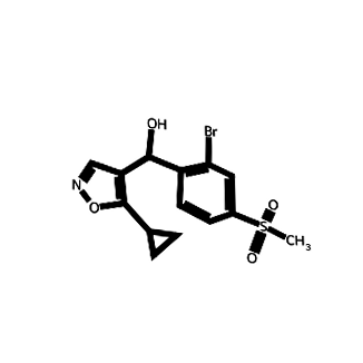 CS(=O)(=O)c1ccc(C(O)c2cnoc2C2CC2)c(Br)c1